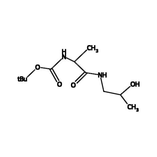 CC(O)CNC(=O)C(C)NC(=O)OC(C)(C)C